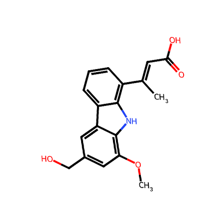 COc1cc(CO)cc2c1[nH]c1c(/C(C)=C/C(=O)O)cccc12